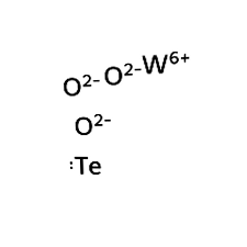 [O-2].[O-2].[O-2].[Te].[W+6]